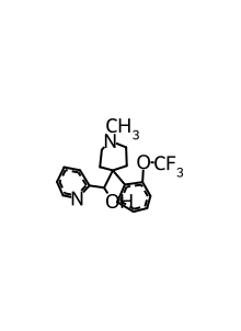 CN1CCC(c2ccccc2OC(F)(F)F)(C(O)c2ccccn2)CC1